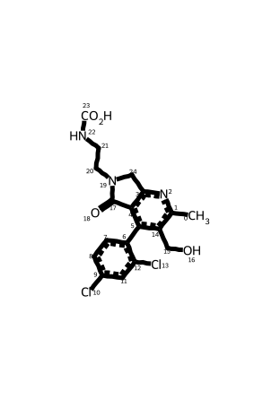 Cc1nc2c(c(-c3ccc(Cl)cc3Cl)c1CO)C(=O)N(CCNC(=O)O)C2